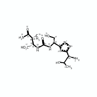 CC(O)[C@H](N)c1nnc([C@H](CO)NC(=O)N[C@H](C(=O)O)[C@@H](C)C(N)=O)s1